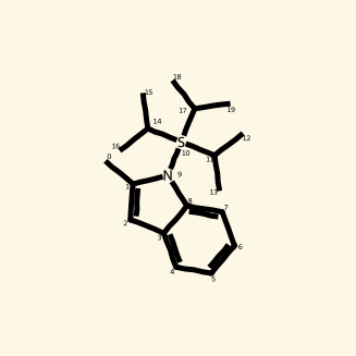 Cc1cc2ccccc2n1S(C(C)C)(C(C)C)C(C)C